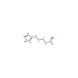 CC(Br)CCCCc1ccsc1